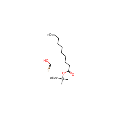 CCCCCCCCCCCCCCCCCC(=O)O[Si](C)(C)CCCCCCCCCC.OC=S